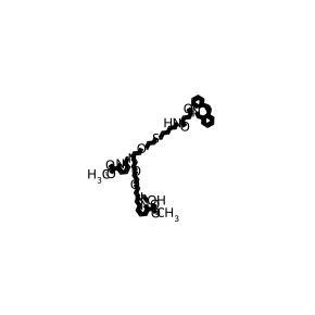 COC(=O)c1cccc(CN(CCO)CCOCCOCCN(CCOCCCSCCCCCNC(=O)CCC(=O)N2Cc3ccccc3C#Cc3ccccc32)Cc2cccc(C(=O)OC)n2)n1